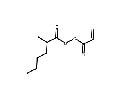 C=CC(=O)OOC(=O)C(C)CCCC